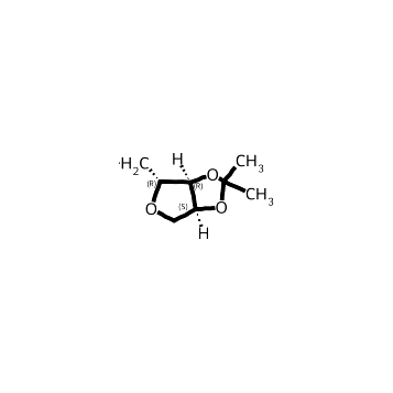 [CH2][C@H]1OC[C@@H]2OC(C)(C)O[C@@H]21